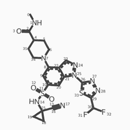 CNC(=O)C1CCN(c2cc(S(=O)(=O)NC3(C#N)CC3)cc3c2cnn3-c2nnc(C(F)F)s2)CC1